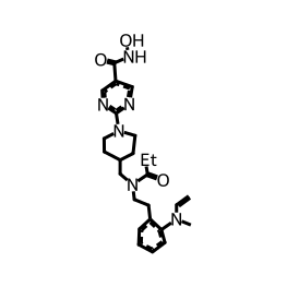 C=CN(C)c1ccccc1CCN(CC1CCN(c2ncc(C(=O)NO)cn2)CC1)C(=O)CC